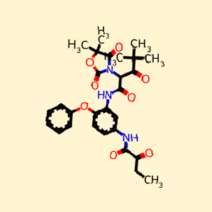 CCC(=O)C(=O)Nc1ccc(Oc2ccccc2)c(NC(=O)C(C(=O)C(C)(C)C)N2C(=O)OC(C)(C)C2=O)c1